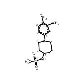 Cc1cc(N2CCCC(NS(C)(=O)=O)CC2)ccc1N